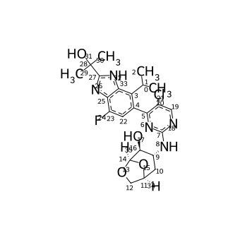 CC(C)c1c(-c2nc(N[C@@H]3C[C@H]4CO[C@H](O4)[C@H]3O)ncc2Cl)cc(F)c2nc(C(C)(C)O)[nH]c12